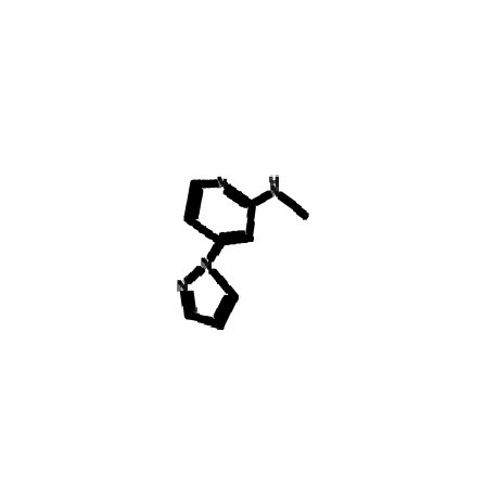 CNc1cc(-n2cccn2)ccn1